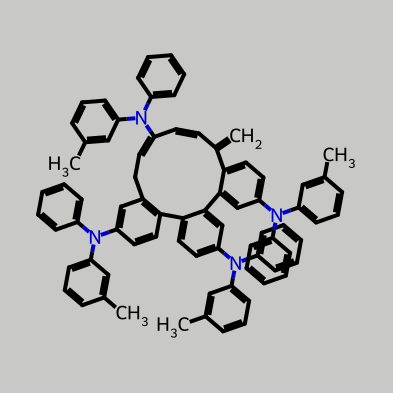 C=C1/C=C\C(N(c2ccccc2)c2cccc(C)c2)=C/Cc2cc(N(c3ccccc3)c3cccc(C)c3)ccc2-c2ccc(N(c3ccccc3)c3cccc(C)c3)cc2-c2cc(N(c3ccccc3)c3cccc(C)c3)ccc21